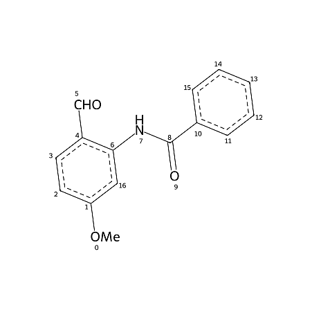 COc1ccc(C=O)c(NC(=O)c2ccccc2)c1